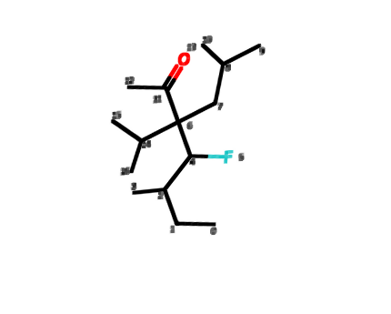 CCC(C)C(F)C(CC(C)C)(C(C)=O)C(C)C